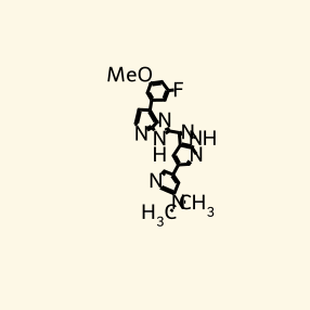 COc1cc(F)cc(-c2ccnc3[nH]c(-c4n[nH]c5ncc(-c6cncc(N(C)C)c6)cc45)nc23)c1